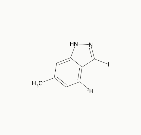 [2H]c1cc(C)cc2[nH]nc(I)c12